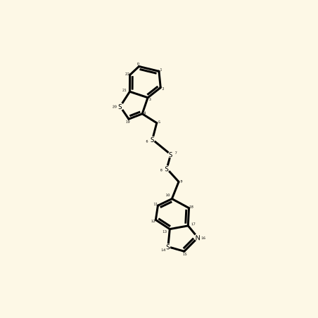 c1ccc2c(CSSSCc3ccc4scnc4c3)csc2c1